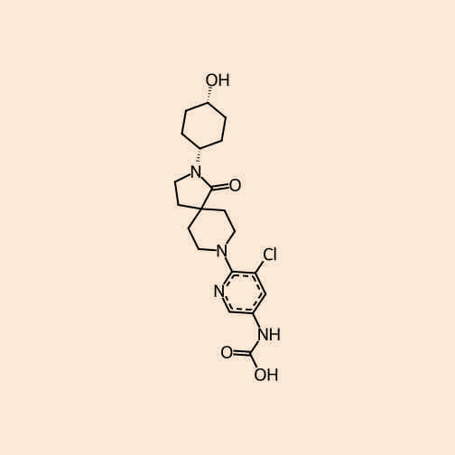 O=C(O)Nc1cnc(N2CCC3(CC2)CCN([C@H]2CC[C@@H](O)CC2)C3=O)c(Cl)c1